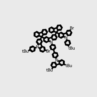 CC(C)(C)c1ccc(-n2c3ccc(Br)cc3c3cc(C4(c5ccc6c(c5)c5cc(C7(c8ccc9c(c8)c8cc(Br)ccc8n9-c8ccc(C(C)(C)C)cc8)c8ccccc8-c8ccccc87)ccc5n6-c5ccc(-c6ccc(-n7c8ccc(C(C)(C)C)cc8c8cc(C(C)(C)C)ccc87)cc6)cc5)c5ccccc5-c5ccccc54)ccc32)cc1